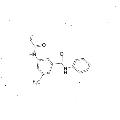 C=CC(=O)Nc1cc(C(=O)Nc2ccccc2)cc(C(F)(F)F)c1